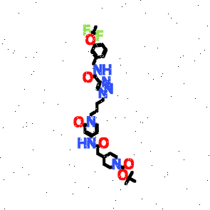 CC(C)(C)OC(=O)N1CCC(CC(=O)Nc2ccn(CCCCn3cc(C(=O)NCc4cccc(OC(C)(F)F)c4)nn3)c(=O)c2)CC1